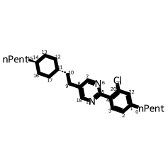 CCCCCc1ccc(-c2ncc(CC[C@H]3CC[C@H](CCCCC)CC3)cn2)c(Cl)c1